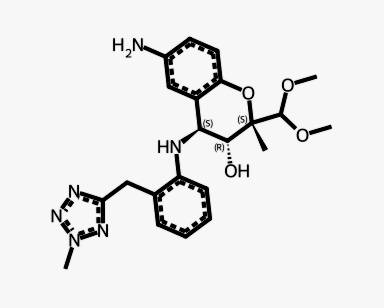 COC(OC)[C@@]1(C)Oc2ccc(N)cc2[C@H](Nc2ccccc2Cc2nnn(C)n2)[C@H]1O